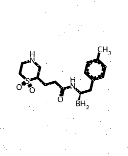 B[C@H](Cc1ccc(C)cc1)NC(=O)CCC1CNCCS1(=O)=O